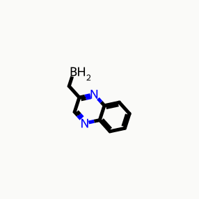 BCc1cnc2ccccc2n1